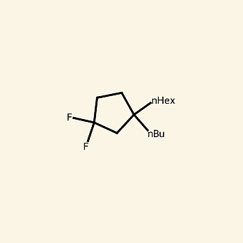 CCCCCCC1(CCCC)CCC(F)(F)C1